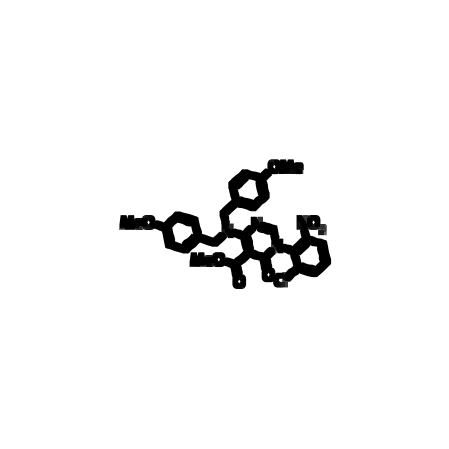 COC(=O)c1c(N(Cc2ccc(OC)cc2)Cc2ccc(OC)cc2)ncn(-c2c(Cl)cccc2[N+](=O)[O-])c1=O